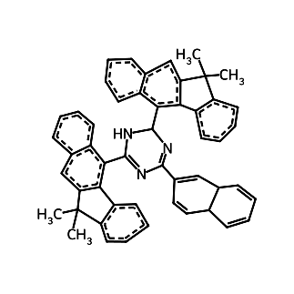 CC1(C)c2ccccc2-c2c1cc1ccccc1c2C1=NC(C2=CC3C=CC=CC3C=C2)=NC(c2c3c(cc4ccccc24)C(C)(C)c2ccccc2-3)N1